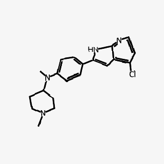 CN1CCC(N(C)c2ccc(-c3cc4c(Cl)ccnc4[nH]3)cc2)CC1